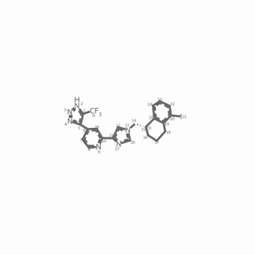 FC(F)(F)c1[nH]nnc1-c1ccnc(-c2cn(C[C@H]3CCCc4c(I)cccc43)cn2)c1